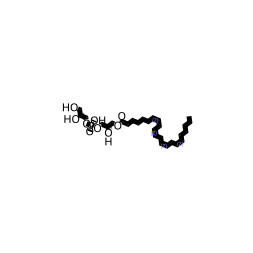 CCCCC/C=C\C/C=C\C/C=C\C/C=C\CCCCCC(=O)OC[C@@H](O)COP(=O)(O)OC[C@@H](O)CO